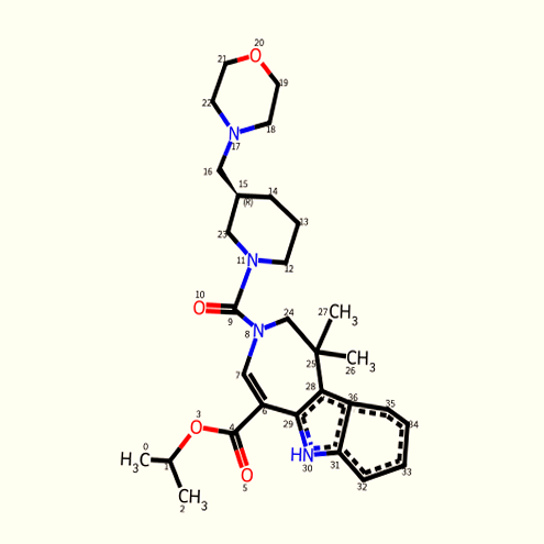 CC(C)OC(=O)C1=CN(C(=O)N2CCC[C@H](CN3CCOCC3)C2)CC(C)(C)c2c1[nH]c1ccccc21